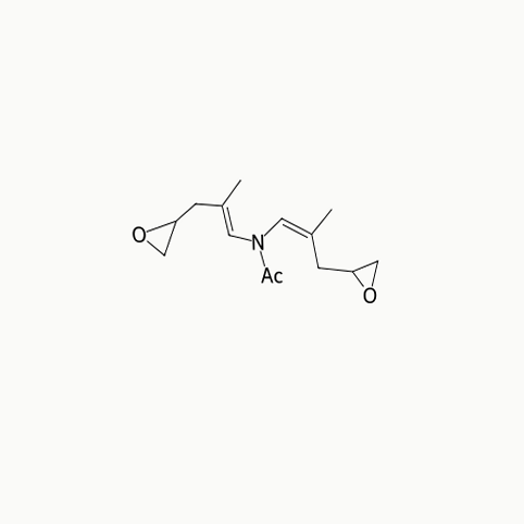 CC(=O)N(C=C(C)CC1CO1)C=C(C)CC1CO1